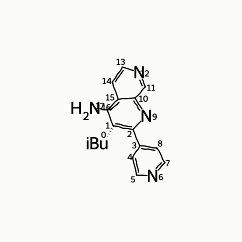 CC[C@@H](C)c1c(-c2ccncc2)nc2cnccc2c1N